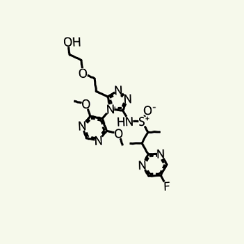 COc1ncnc(OC)c1-n1c(CCOCCO)nnc1N[S+]([O-])C(C)C(C)c1ncc(F)cn1